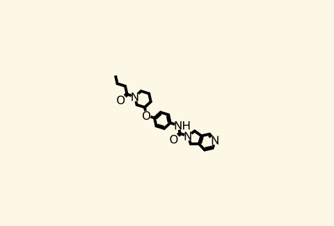 CCCC(=O)N1CCCC(Oc2ccc(NC(=O)N3Cc4ccncc4C3)cc2)C1